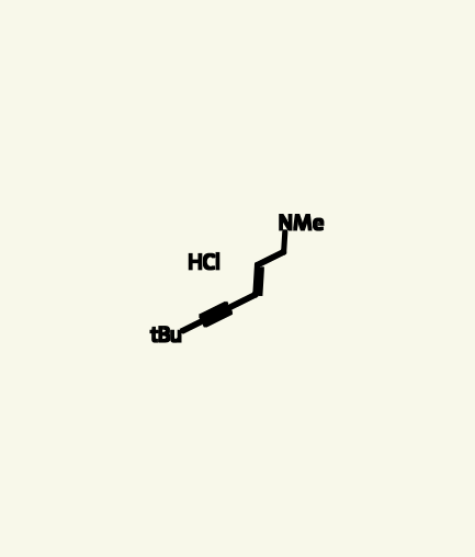 CNCC=CC#CC(C)(C)C.Cl